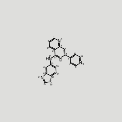 c1cnc2cc(-c3ccncc3)nc(Nc3ccc4scnc4c3)c2c1